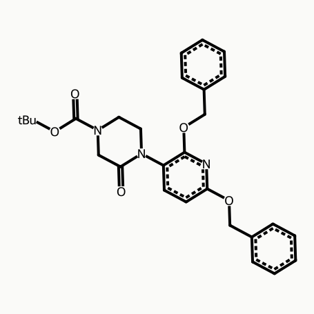 CC(C)(C)OC(=O)N1CCN(c2ccc(OCc3ccccc3)nc2OCc2ccccc2)C(=O)C1